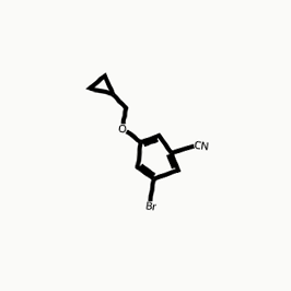 N#Cc1cc(Br)cc(OCC2CC2)c1